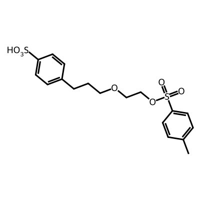 Cc1ccc(S(=O)(=O)OCCOCCCc2ccc(S(=O)(=O)O)cc2)cc1